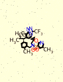 Cc1cnc2c(c1)S(=O)(=O)N(Cc1cc([C@H](c3ccn4c(C(F)(F)F)nnc4c3C)[C@@H](C)C(=O)O)ccc1C)CC1(CC1)O2